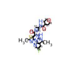 Cc1nc2nc(NC(C)c3cncc(F)c3)nc(C(=O)N3CC(NC(=O)C4CCOCC4)C3)c2s1